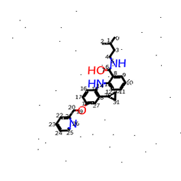 CC(C)CCNC(O)c1ccccc1Nc1ccc(OCc2ccccn2)cc1C1CC1